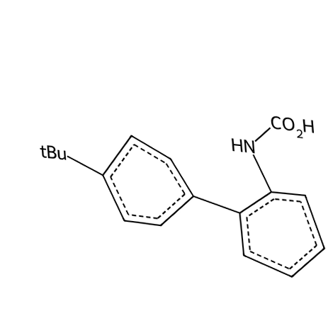 CC(C)(C)c1ccc(-c2ccccc2NC(=O)O)cc1